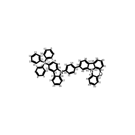 c1ccc([Si](c2ccccc2)(c2ccccc2)c2ccc3c(c2)c2ccccc2n3-c2ccc(-c3ccc4c5cccc6c5n(c4c3)-c3ccccc3O6)cc2)cc1